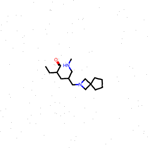 CCC(C=O)CC(CNC)CN1CC2(CCCC2)C1